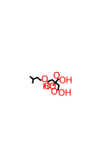 CC(C)CCOC(=O)CC(O)(CC(=O)O)C(=O)O